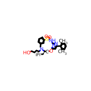 Cc1cccc(C)c1-c1cc2nc(n1)NS(=O)(=O)c1cccc(c1)CN(CCCCO)[C@H](CC(C)C)CO2